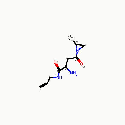 C=CCNC(=O)C(N)CC(=O)N1CC1C#N